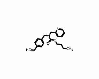 CCCCOC(=O)N(Cc1ccc(CO)cc1)Cc1ccccn1